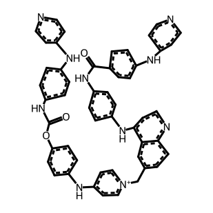 O=C(Nc1ccc(Nc2ccncc2)cc1)Oc1ccc(Nc2cc[n+](Cc3ccc4nccc(Nc5ccc(NC(=O)c6ccc(Nc7ccncc7)cc6)cc5)c4c3)cc2)cc1